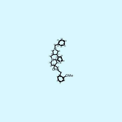 COc1ccccc1CCCC1(O)CCN(CC2CN(Cc3ccccc3)CC2c2ccsc2)CC1